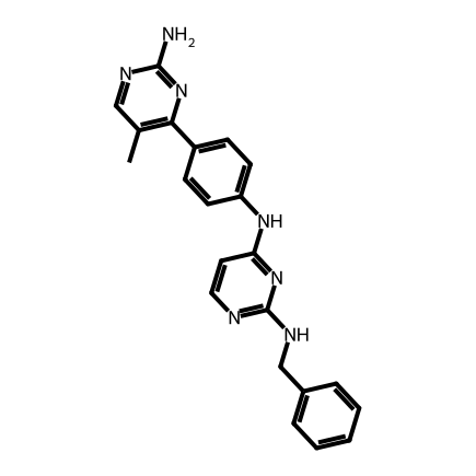 Cc1cnc(N)nc1-c1ccc(Nc2ccnc(NCc3ccccc3)n2)cc1